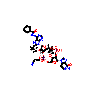 CC(C)(C)[Si](C)(C)OC1C2COP(=O)(OCCC#N)O[C@H]3C(O[Si](C)(C)C(C)(C)C)[C@H](n4cnc5c(NC(=O)c6ccccc6)ncnc54)O[C@@H]3COP(=O)(O)O[C@H]1[C@H](n1cnc3c(=O)[nH]ccc31)O2